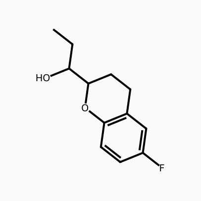 CCC(O)C1CCc2cc(F)ccc2O1